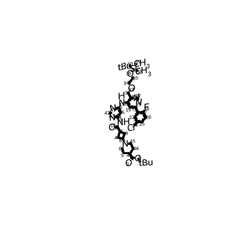 CC(C)(C)OC(=O)C1CCN(C2CC(C(=O)Nc3cc(Nc4cc(-c5cc(Cl)ccc5F)nnc4COCCO[Si](C)(C)C(C)(C)C)ncn3)C2)CC1